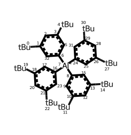 CC(C)(C)c1cc(C(C)(C)C)c[c]([Al-]([c]2cc(C(C)(C)C)cc(C(C)(C)C)c2)([c]2cc(C(C)(C)C)cc(C(C)(C)C)c2)[c]2cc(C(C)(C)C)cc(C(C)(C)C)c2)c1